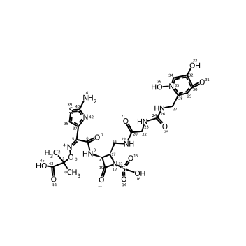 CC(C)(O/N=C(\C(=O)N[C@@H]1C(=O)N(S(=O)(=O)O)[C@@H]1CNC(=O)CNC(=O)NCc1cc(=O)c(O)cn1O)c1csc(N)n1)C(=O)O